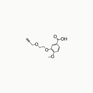 C#CCOCCOc1cc(C(=O)O)ccc1OC